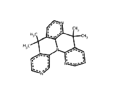 CC1(C)c2ccncc2N2c3ncccc3C(C)(C)c3nccc1c32